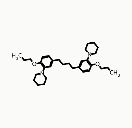 CCCOc1ccc(CCCCc2ccc(OCCC)c(N3CCCCC3)c2)cc1N1CCCCC1